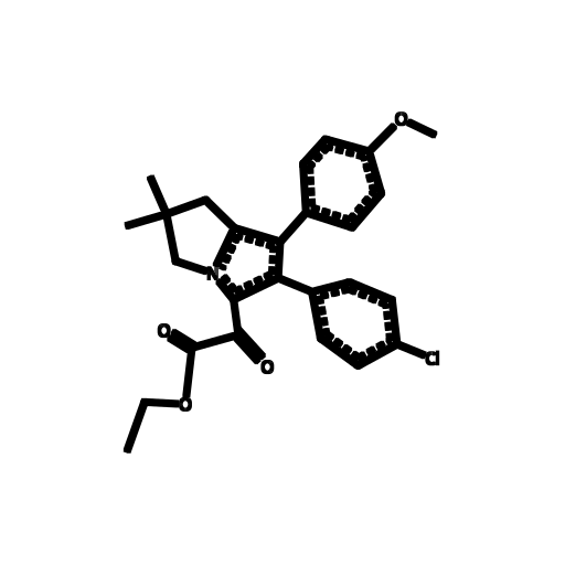 CCOC(=O)C(=O)c1c(-c2ccc(Cl)cc2)c(-c2ccc(OC)cc2)c2n1CC(C)(C)C2